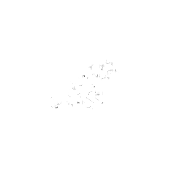 Nc1nc2c(ncn2[C@@H]2O[C@H](COP(=O)(O)S)[C@H](F)C2OP(=O)(S)OC[C@@H]2C[C@H](F)[C@H](n3cnc4c(N)ncnc43)O2)c(=O)[nH]1